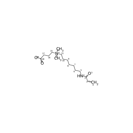 C=CC(=O)NCCCCCCC[N+](C)(C)CCCC(=O)[O-]